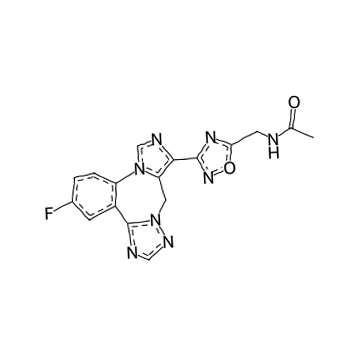 CC(=O)NCc1nc(-c2ncn3c2Cn2ncnc2-c2cc(F)ccc2-3)no1